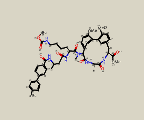 CCCCc1ccc(-c2ccc(C(=O)NC(C)CC(=O)N[C@@H](CCCCNC(=O)OC(C)(C)C)C(=O)N(C)[C@@H]3C(=O)N[C@@H](C)C(=O)N[C@H](C(=O)OC)Cc4ccc(OC)c(c4)-c4cc3ccc4OC)cc2)cc1